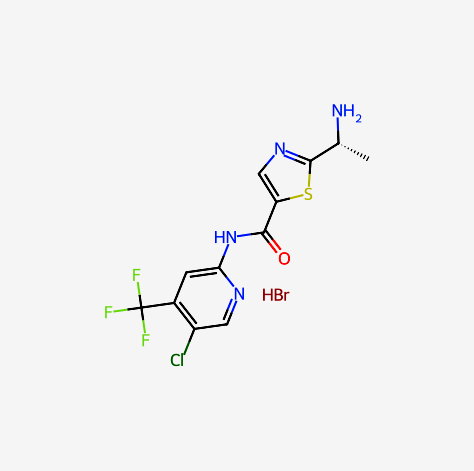 Br.C[C@@H](N)c1ncc(C(=O)Nc2cc(C(F)(F)F)c(Cl)cn2)s1